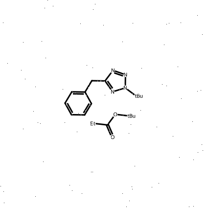 CC(C)(C)n1nnc(Cc2ccccc2)n1.CCC(=O)OC(C)(C)C